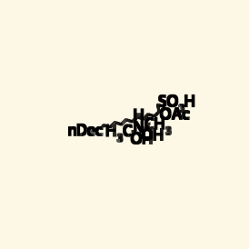 CC(O)NC(C)O.CCCCCCCCCCCCCCCCCCCCC(CS(=O)(=O)O)OC(C)=O